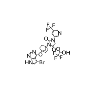 O=C(O)C(F)(F)F.O=C1CN(c2cncc(C(F)(F)F)c2)C(=O)N1C12CCC(Oc3ncnc4[nH]cc(Br)c34)(CC1)C2